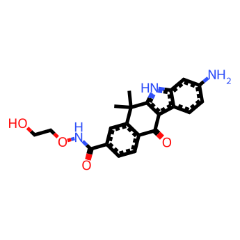 CC1(C)c2cc(C(=O)NOCCO)ccc2C(=O)c2c1[nH]c1cc(N)ccc21